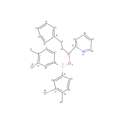 Cc1ccc(B(OC(CCc2ccccc2)c2ccccn2)c2ccc(C)c(Cl)c2)cc1Cl